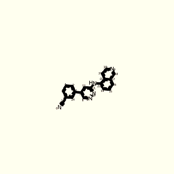 N#Cc1cccc(-c2cnnc(Nc3cccc4cnccc34)c2)c1